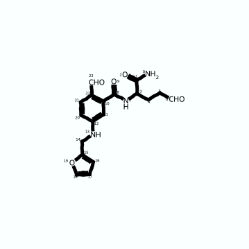 NC(=O)C(CCC=O)NC(=O)c1cc(NCc2ccco2)ccc1C=O